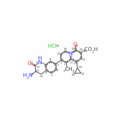 Cc1c(-c2ccc3c(c2)NC(=O)C(N)C3)ccn2c(=O)c(C(=O)O)cc(C3CC3)c12.Cl